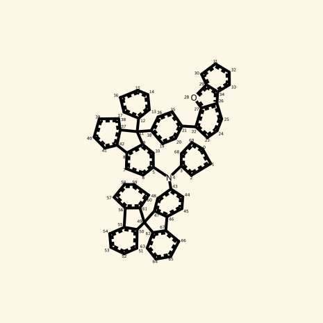 c1ccc(N(c2ccc3c(c2)C(c2ccccc2)(c2ccc(-c4cccc5c4oc4ccccc45)cc2)c2ccccc2-3)c2ccc3c(c2)C2(c4ccccc4-c4ccccc42)c2ccccc2-3)cc1